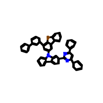 c1ccc(-c2cccc(-c3cc(-n4c5ccccc5c5ccc(-c6nc(-c7ccccc7)cc(-c7ccccc7)n6)cc54)cc4c3sc3ccccc34)c2)cc1